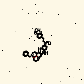 COc1ccc(CCN(C=O)c2ccc(N/C(=C/N3CCCCC3)NC3CCN(Cc4ccccc4)CC3)cc2)cc1